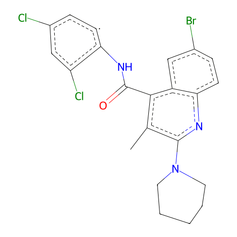 Cc1c(N2CCCCC2)nc2ccc(Br)cc2c1C(=O)Nc1[c]cc(Cl)cc1Cl